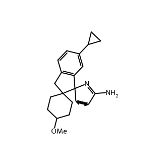 COC1CCC2(CC1)Cc1ccc(C3CC3)cc1C21N=C(N)c2ccccc21